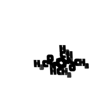 CC(=O)Nc1cc(C)c(NC(C)=O)cc1C